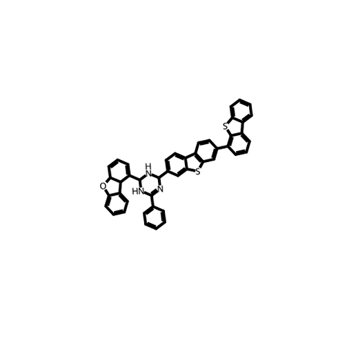 C1=CC2Oc3ccccc3C2C(C2NC(c3ccccc3)=NC(c3ccc4c(c3)sc3cc(-c5cccc6c5sc5ccccc56)ccc34)N2)=C1